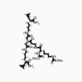 COC(=O)NCCCC[C@H](NC(=O)OC)C(=O)NCCC(=O)N(CC(=O)NCCCC[C@@H](C(N)=O)C1CC1)CC(=O)NCCCC[C@@H](C(N)=O)C1CC1